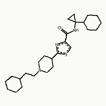 O=C(NC1(C2CCCCC2)CC1)c1csc(C2CCN(CCC3CCCCC3)CC2)n1